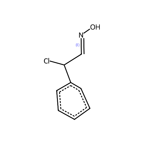 O/N=C/C(Cl)c1ccccc1